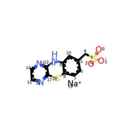 O=S(=O)([O-])Cc1ccc2c(c1)Nc1nccnc1S2.[Na+]